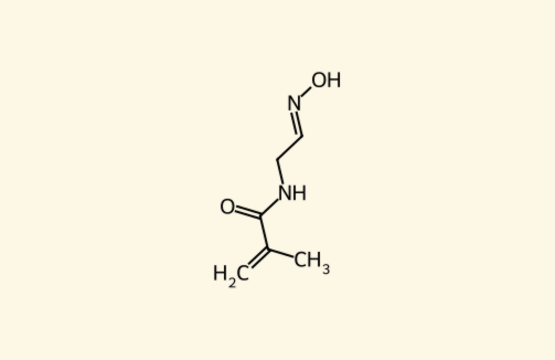 C=C(C)C(=O)NCC=NO